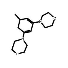 CC1C=C(N2CCOCC2)C=C(N2CCOCC2)C1